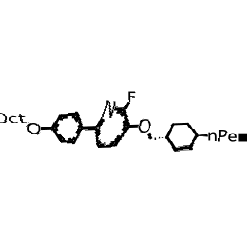 CCCCCCCCOc1ccc(-c2ccc(OC[C@H]3CC[C@H](CCCCC)CC3)c(F)n2)cc1